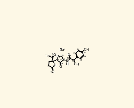 O=C1CCC(C(=O)[O-])(N2OC[C@H](NC(=O)C(O)c3ccc(O)cc3)C2=O)O1.[Na+]